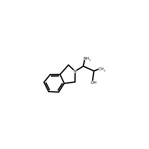 CC(O)C(N)N1Cc2ccccc2C1